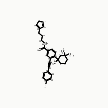 CC1(C)CCCC(C)(c2ccc(C(=O)NCCCC3=CCN=C3)cc2C#Cc2ccc(F)cc2)C1